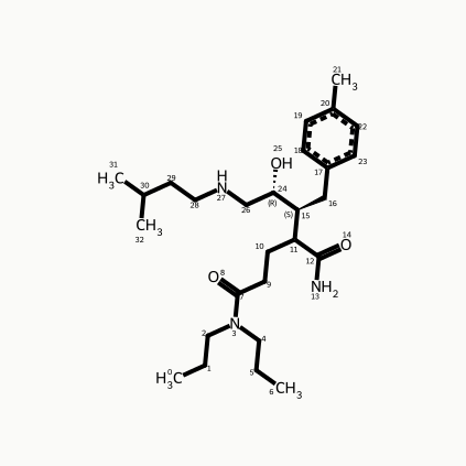 CCCN(CCC)C(=O)CCC(C(N)=O)[C@H](Cc1ccc(C)cc1)[C@@H](O)CNCCC(C)C